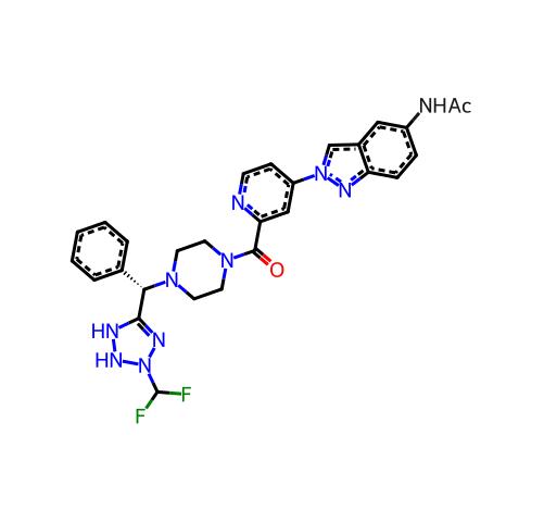 CC(=O)Nc1ccc2nn(-c3ccnc(C(=O)N4CCN([C@H](C5=NN(C(F)F)NN5)c5ccccc5)CC4)c3)cc2c1